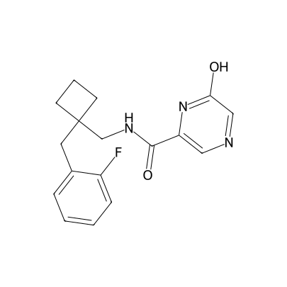 O=C(NCC1(Cc2ccccc2F)CCC1)c1cncc(O)n1